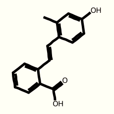 Cc1cc(O)ccc1/C=C/c1ccccc1C(=O)O